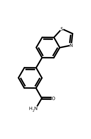 NC(=O)c1cccc(-c2ccc3scnc3c2)c1